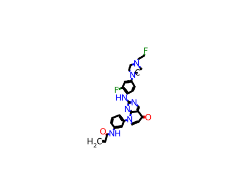 C=CC(=O)Nc1cccc(-n2ccc(=O)c3cnc(Nc4ccc(N5CCN(CCF)CC5)cc4F)nc32)c1